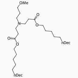 CCCCCCCCCCCCCCCOC(=O)CCN(CCCOC)CCC(=O)OCCCCCCCCCCCCCCC